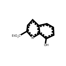 CCOC(=O)c1ccc2cccc(O)c2n1